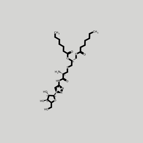 CCCCCCC(=O)OC[C@H](CSC[C@@H](N)C(=O)Nc1cn([C@H]2OC(CO)[C@@H](O)[C@@H]2O)nn1)OC(=O)CCCCCC